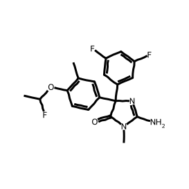 Cc1cc(C2(c3cc(F)cc(F)c3)N=C(N)N(C)C2=O)ccc1OC(C)F